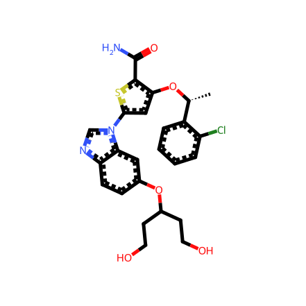 C[C@@H](Oc1cc(-n2cnc3ccc(OC(CCO)CCO)cc32)sc1C(N)=O)c1ccccc1Cl